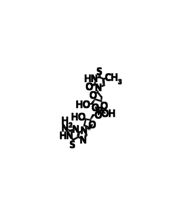 Cc1cn([C@H]2CC(OP(=O)(O)OC[C@H]3OC4C(C3O)[N@@+]43C=Nc4c3nc(N)[nH]c4=S)[C@@H](CO)O2)c(=O)[nH]c1=S